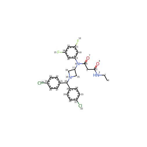 CCNC(=O)CC(=O)N(c1cc(F)cc(F)c1)C1CN(C(c2ccc(Cl)cc2)c2ccc(Cl)cc2)C1